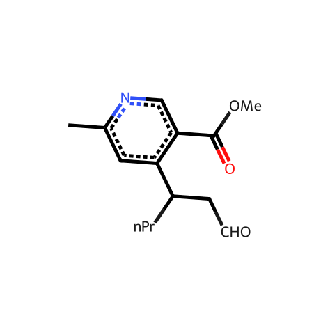 CCCC(CC=O)c1cc(C)ncc1C(=O)OC